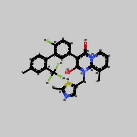 Cc1ccc(-c2cc(-c3c(O)[n+](Cc4cnc(C)s4)c4c(C)cccn4c3=O)ccc2F)c(C(F)(F)F)c1